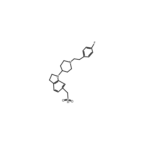 O=[SH](=O)Cc1ccc2c(c1)N(C1CCN(CCc3ccc(F)cc3)CC1)CC2